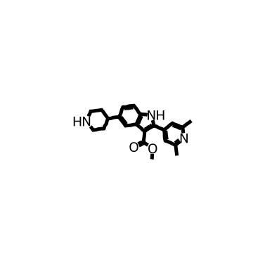 COC(=O)c1c(-c2cc(C)nc(C)c2)[nH]c2ccc(C3CCNCC3)cc12